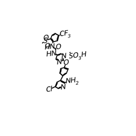 CS(=O)(=O)O.CS(=O)(=O)c1ccc(C(F)(F)F)cc1NC(=O)Nc1cnc(Oc2ccc(-c3cc(Cl)cnc3N)cc2)nc1